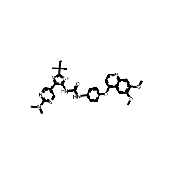 COc1cc2nccc(Oc3ccc(NC(=O)Nc4[nH]c(C(C)(C)C)nc4-c4cnc(N(C)C)nc4)cc3)c2cc1OC